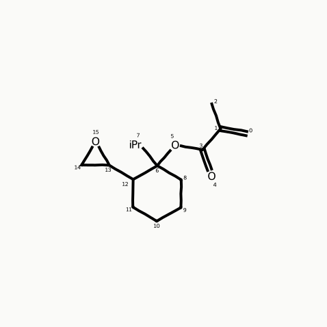 C=C(C)C(=O)OC1(C(C)C)CCCCC1C1CO1